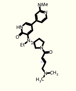 CCN(c1cc(-c2ccnc(NC)c2)c[nH]c1=O)[C@@H]1CCN(C(=O)/C=C/CN(C)C)C1